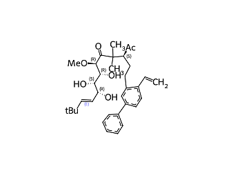 C=Cc1ccc(-c2ccccc2)cc1CC[C@H](C(C)=O)C(C)(C)C(=O)[C@H](OC)[C@H](O)[C@@H](O)[C@H](O)/C=C/C(C)(C)C